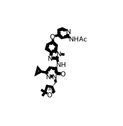 CC(=O)Nc1cc(Oc2ccc3nc(Nc4cc(C5CC5)nn(C[C@@H]5COC(C)(C)C5)c4=O)n(C)c3c2)ccn1